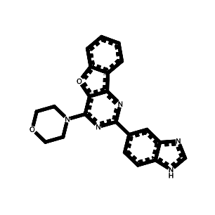 c1ccc2c(c1)oc1c(N3CCOCC3)nc(-c3ccc4[nH]cnc4c3)nc12